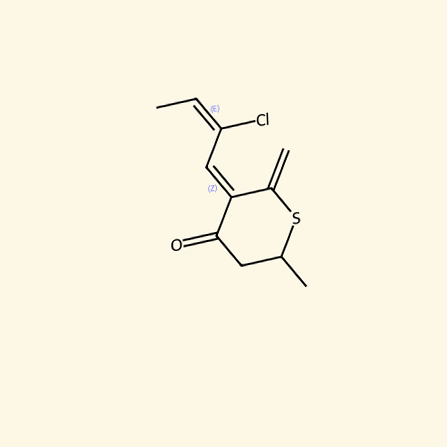 C=C1SC(C)CC(=O)/C1=C/C(Cl)=C\C